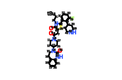 CC(C)(C)CCN1C(=O)[C@H](CC(=O)N2CCC(N3CCc4ccccc4NC3=O)CC2)S[C@@H]1c1cccc(F)c1C1CCNCC1